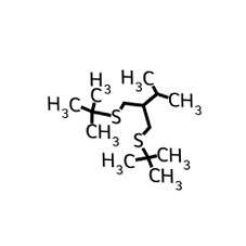 CC(C)C(CSC(C)(C)C)CSC(C)(C)C